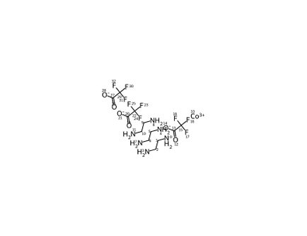 NCCN.NCCN.NCCN.O=C([O-])C(F)(F)F.O=C([O-])C(F)(F)F.O=C([O-])C(F)(F)F.[Co+3]